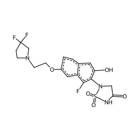 O=C1CN(c2c(O)cc3ccc(OCCN4CCC(F)(F)C4)cc3c2F)S(=O)(=O)N1